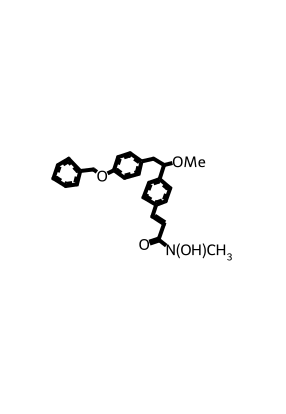 COC(Cc1ccc(OCc2ccccc2)cc1)c1ccc(/C=C/C(=O)N(C)O)cc1